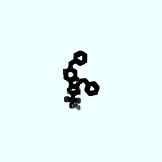 CS(=O)(=O)c1nc2c(s1)c1c(n2Cc2ccccc2)CN(Cc2ccccc2)N=C1